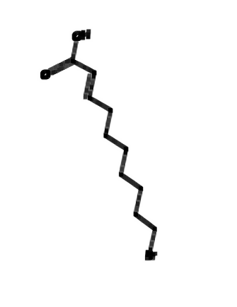 O=C(O)/C=C/CCCCCCCBr